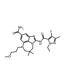 CCn1nc(C)c(F)c1C(=O)Nc1nc2cc(C(N)=O)cc3c2n1CC(C)(C)CN3CCCOC